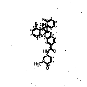 CN1C[C@H](NC(=O)c2ccc3nc(C(O)(c4ccccc4F)c4ccccc4F)n(C)c3c2)CCC1=O